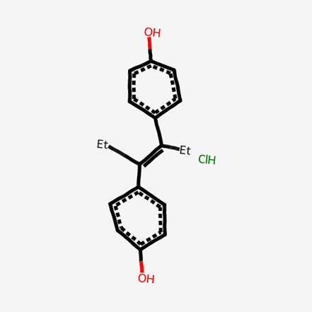 CC/C(=C(/CC)c1ccc(O)cc1)c1ccc(O)cc1.Cl